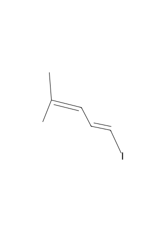 CC(C)=CC=CI